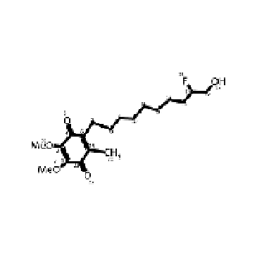 COC1=C(OC)C(=O)C(CCCCCCCCC(F)CO)=C(C)C1=O